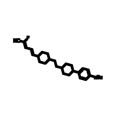 CCCCc1ccc(C2CCC(CCC3CCC(C=CC=C(F)C#N)CC3)CC2)cc1